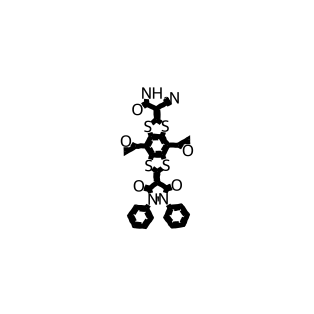 N#CC(C(N)=O)=C1Sc2c(c(C3CO3)c3c(c2C2CO2)SC(=C2C(=O)N(c4ccccc4)N(c4ccccc4)C2=O)S3)S1